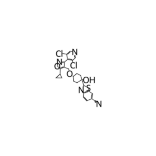 N#Cc1ccc2nc([C@]3(O)CC[C@@H](OCc4c(-c5c(Cl)cncc5Cl)noc4C4CC4)CC3)sc2c1